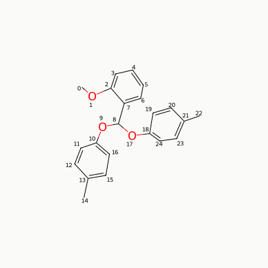 COc1ccccc1C(Oc1ccc(C)cc1)Oc1ccc(C)cc1